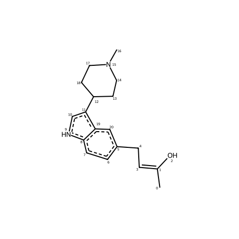 CC(O)=CCc1ccc2[nH]cc(C3CCN(C)CC3)c2c1